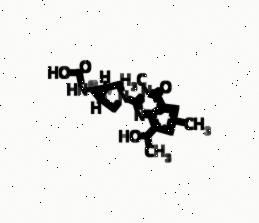 Cc1cc(C(C)O)c2nc(N3C[C@@H]4[C@H](C3)[C@@H]4NC(=O)O)n(C)c(=O)c2c1